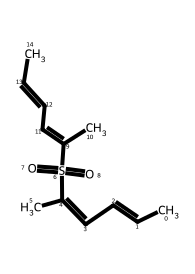 CC=CC=C(C)S(=O)(=O)C(C)=CC=CC